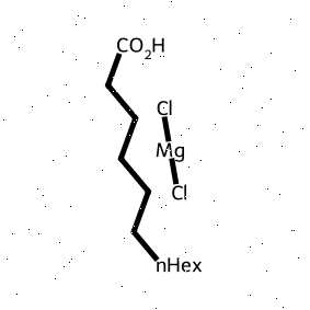 CCCCCCCCCCCC(=O)O.[Cl][Mg][Cl]